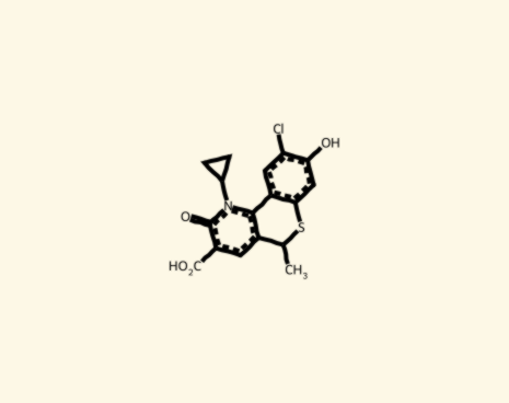 CC1Sc2cc(O)c(Cl)cc2-c2c1cc(C(=O)O)c(=O)n2C1CC1